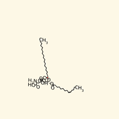 CCCC/C=C\CCCCCCCC(=O)OC[C@H](COP(=O)(O)OC[C@H](N)C(=O)O)OC(=O)CCCCCCCCCCCCCCCCCCC